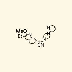 CCc1cc2ccc(C(C)(C#N)CN3CCN(c4ccccn4)CC3)cc2nc1OC